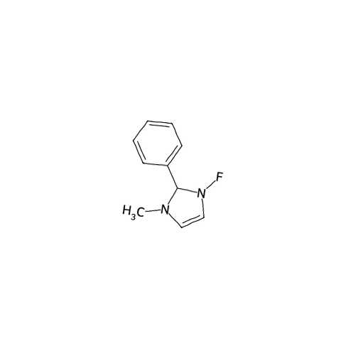 CN1C=CN(F)C1c1ccccc1